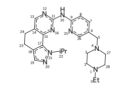 CCN1CCN(Cc2ccc(Nc3ncc4c(n3)-c3c(cnn3C(C)C)CC4)nc2)CC1